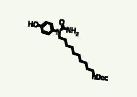 CCCCCCCCCCCCCCCCCCCCN(C(N)=O)c1ccc(O)cc1